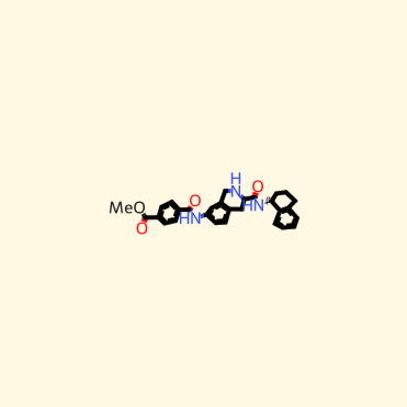 COC(=O)c1ccc(C(=O)Nc2ccc3c(c2)CNC(C(=O)N[C@@H]2CCCc4ccccc42)C3)cc1